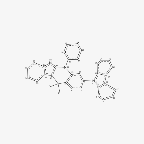 CC1(C)c2ccc(-n3c4ccccc4c4ccccc43)cc2N(c2ccccc2)c2nc3ccccc3n21